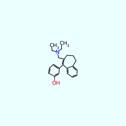 CCN(CC)CC1=C(c2cccc(O)c2)c2ccccc2CCC1